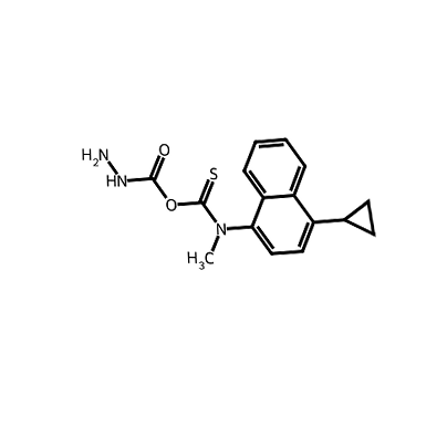 CN(C(=S)OC(=O)NN)c1ccc(C2CC2)c2ccccc12